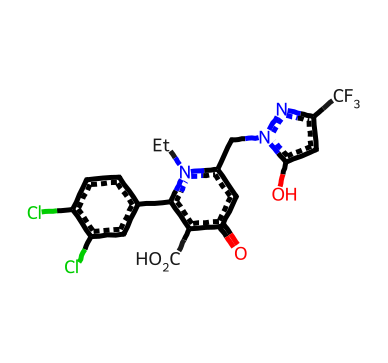 CCn1c(Cn2nc(C(F)(F)F)cc2O)cc(=O)c(C(=O)O)c1-c1ccc(Cl)c(Cl)c1